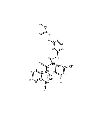 COC(=O)CCc1cccc(CONC(=O)[C@@H]2c3ccccc3C(=O)N[C@H]2c2ccc(Cl)cc2Cl)c1